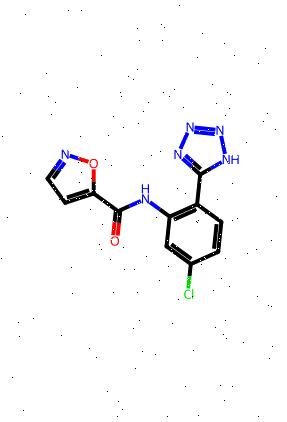 O=C(Nc1cc(Cl)ccc1-c1nnn[nH]1)c1ccno1